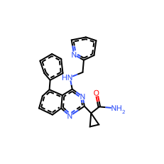 NC(=O)C1(c2nc(NCc3ccccn3)c3c(-c4ccccc4)cccc3n2)CC1